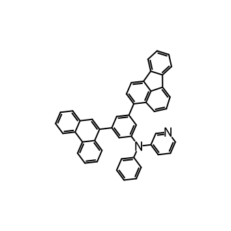 c1ccc(N(c2cccnc2)c2cc(-c3ccc4c5c(cccc35)-c3ccccc3-4)cc(-c3cc4ccccc4c4ccccc34)c2)cc1